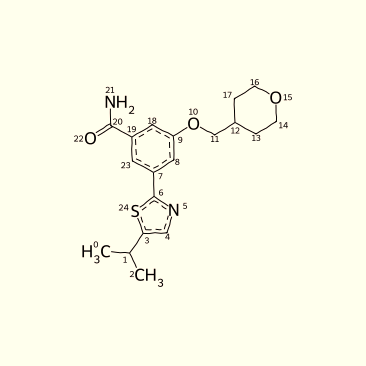 CC(C)c1cnc(-c2cc(OCC3CCOCC3)cc(C(N)=O)c2)s1